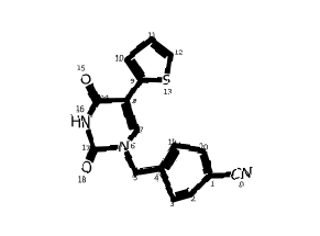 N#Cc1ccc(Cn2cc(-c3cccs3)c(=O)[nH]c2=O)cc1